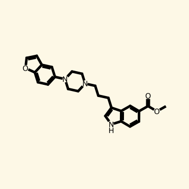 COC(=O)c1ccc2[nH]cc(CCCN3CCN(c4ccc5occc5c4)CC3)c2c1